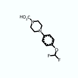 O=C(O)N1CCN(c2ccc(OC(F)F)cc2)CC1